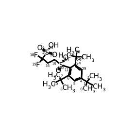 CC(C)(C)c1cc(C(C)(C)C)c(S(=O)(=O)CCC(F)(F)S(=O)(=O)O)c(C(C)(C)C)c1